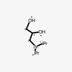 CC(C)N(CC(O)CO)C(C)C